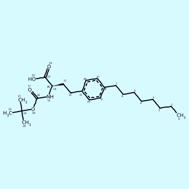 CCCCCCCCc1ccc(CC[C@@H](NC(=O)OC(C)(C)C)C(=O)O)cc1